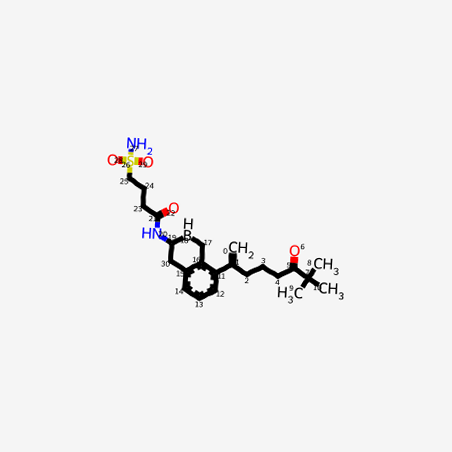 C=C(CCCC(=O)C(C)(C)C)c1cccc2c1CBC(NC(=O)CCCS(N)(=O)=O)C2